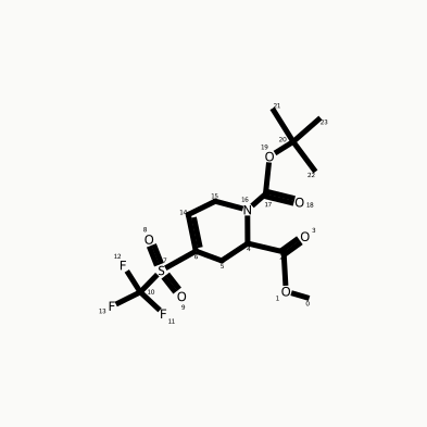 COC(=O)C1CC(S(=O)(=O)C(F)(F)F)=CCN1C(=O)OC(C)(C)C